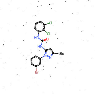 CC(C)(C)c1cc(NC(=O)Nc2cccc(Cl)c2Cl)n(-c2cccc(Br)c2)n1